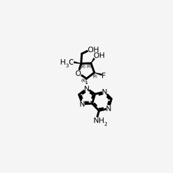 C[C@]1(CO)O[C@@H](n2cnc3c(N)ncnc32)[C@H](F)[C@@H]1O